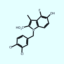 Cc1c(C(=O)O)n(Cc2ccc(Cl)c(Cl)c2)c2ccc(O)c(F)c12